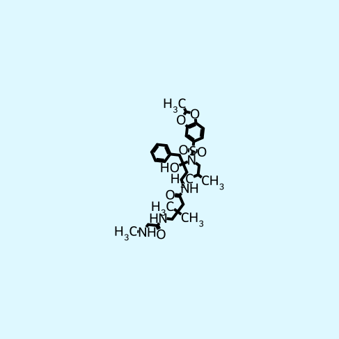 CNCC(=O)NCC(C)(C)CC(=O)NCCC(O)(Cc1ccccc1)N(CC(C)C)S(=O)(=O)c1ccc2c(c1)OC(C)O2